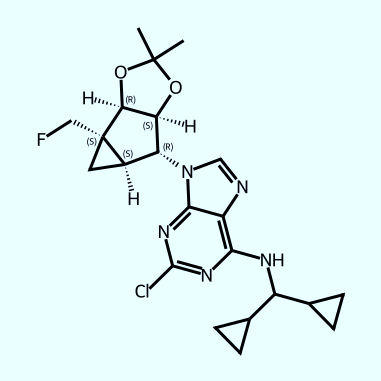 CC1(C)O[C@H]2[C@H](n3cnc4c(NC(C5CC5)C5CC5)nc(Cl)nc43)[C@H]3C[C@@]3(CF)[C@H]2O1